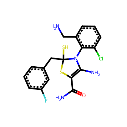 NCc1cccc(Cl)c1N1C(N)=C(C(N)=O)SC1(S)Cc1cccc(F)c1